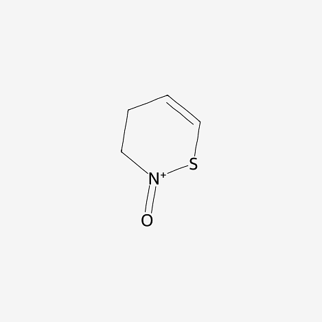 O=[N+]1CCC=CS1